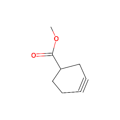 COC(=O)C1CC#CCC1